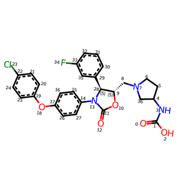 O=C(O)NC1CCN(C[C@@H]2OC(=O)N(c3ccc(Oc4ccc(Cl)cc4)cc3)[C@H]2c2cccc(F)c2)C1